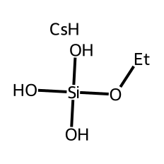 CCO[Si](O)(O)O.[CsH]